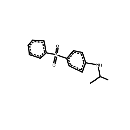 CC(C)Nc1ccc(S(=O)(=O)c2ccccc2)cc1